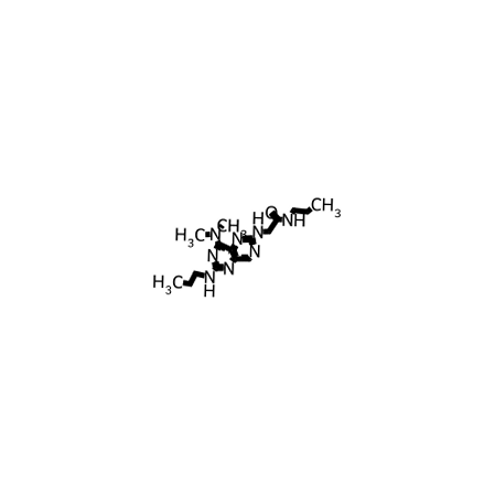 CCCNC(=O)CNc1ncc2nc(NCCC)nc(N(C)C)c2n1